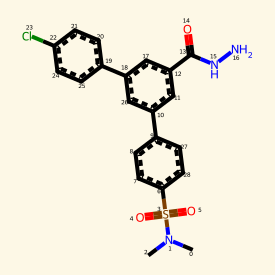 CN(C)S(=O)(=O)c1ccc(-c2cc(C(=O)NN)cc(-c3ccc(Cl)cc3)c2)cc1